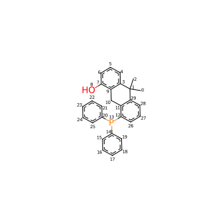 CC1(C)c2cccc(O)c2Cc2c(P(c3ccccc3)c3ccccc3)cccc21